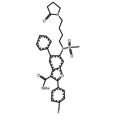 CNC(=O)c1c(-c2ccc(F)cc2)oc2cc(N(CCCCN3CCCC3=O)S(C)(=O)=O)c(-c3ccccc3)cc12